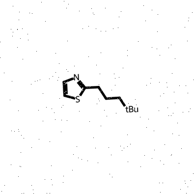 CC(C)(C)CCCc1nccs1